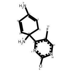 NC1=CCC(N)(c2nc(Cl)ncc2F)C=C1